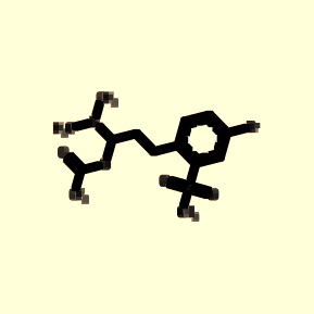 CN(C)C(CCc1ccc(Br)cc1S(C)(=O)=O)OC(=O)C(F)(F)F